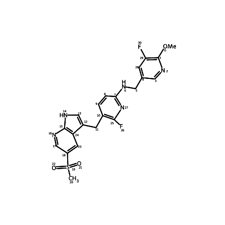 COc1ncc(CNc2ccc(Cc3c[nH]c4ncc(S(C)(=O)=O)cc34)c(F)n2)cc1F